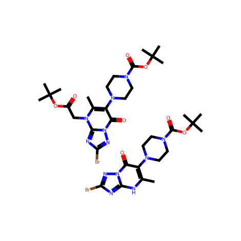 Cc1[nH]c2nc(Br)nn2c(=O)c1N1CCN(C(=O)OC(C)(C)C)CC1.Cc1c(N2CCN(C(=O)OC(C)(C)C)CC2)c(=O)n2nc(Br)nc2n1CC(=O)OC(C)(C)C